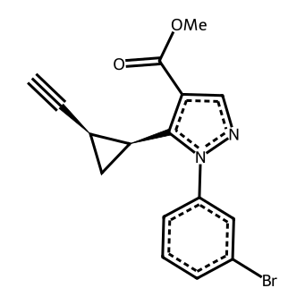 C#C[C@@H]1C[C@@H]1c1c(C(=O)OC)cnn1-c1cccc(Br)c1